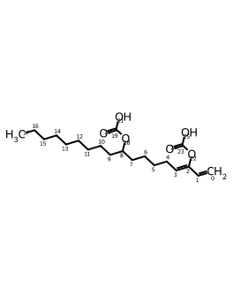 C=CC(=CCCCCC(CCCCCCCCC)OC(=O)O)OC(=O)O